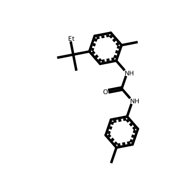 CCC(C)(C)c1ccc(C)c(NC(=O)Nc2ccc(C)cc2)c1